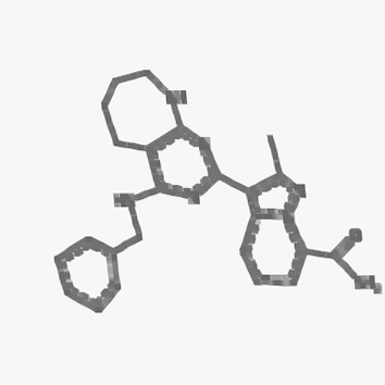 Cc1nn2c(C(N)=O)cccc2c1-c1nc2c(c(NCc3ccccc3)n1)CCCCN2